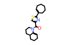 O=C(c1csc(C2=CCCCCC2)n1)N1CCCC2CCCC=C21